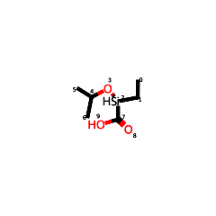 CC[SiH](OC(C)C)C(=O)O